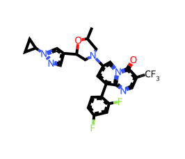 CC1CN(c2cc(-c3ccc(F)cc3F)c3ncc(C(F)(F)F)c(=O)n3c2)CC(c2cnn(C3CC3)c2)O1